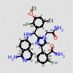 CCOc1cc(CC)cc(C(Nc2ccc3c(N)nccc3c2)c2nc(-c3cccc(F)c3C(N)=O)cn2CC(N)=O)c1F